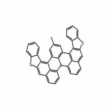 Cc1cc2c3c(c1)-c1c4c(cccc4cc4sc5ccccc5c14)B3c1cccc3cc4sc5ccccc5c4c-2c13